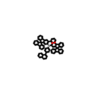 c1ccc(-c2cc3c(cc2N(c2ccc(-c4cccc5ccccc45)cc2)c2ccc4c(c2)C2(c5ccccc5-c5ccccc52)c2ccccc2-4)C2(c4ccccc4-c4ccccc42)c2ccccc2-3)cc1